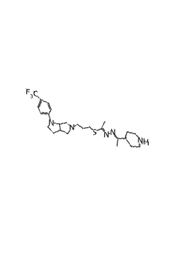 C/C(=N\N=C(/C)C1CCNCC1)SCCCN1CC2CCN(c3ccc(C(F)(F)F)cc3)C2C1